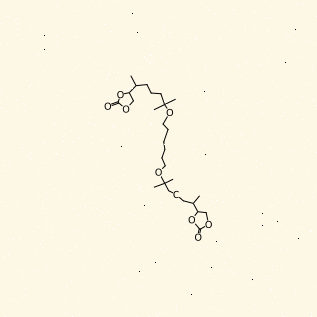 CC(CCCC(C)(C)OCCCCCCOC(C)(C)CCCC(C)C1COC(=O)O1)C1COC(=O)O1